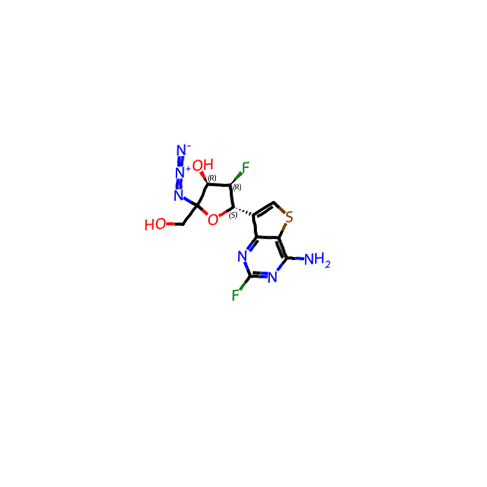 [N-]=[N+]=NC1(CO)O[C@@H](c2csc3c(N)nc(F)nc23)[C@H](F)[C@@H]1O